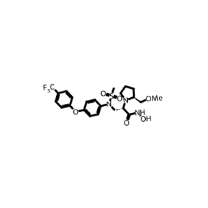 COC[C@@H]1CCCN1[C@@H](CN(c1ccc(Oc2ccc(C(F)(F)F)cc2)cc1)S(C)(=O)=O)C(=O)NO